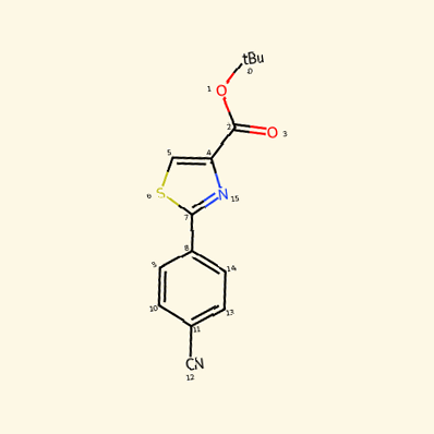 CC(C)(C)OC(=O)c1csc(-c2ccc(C#N)cc2)n1